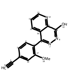 C#Cc1ccc(-c2nnc(O)c3ncccc23)c(OC)c1